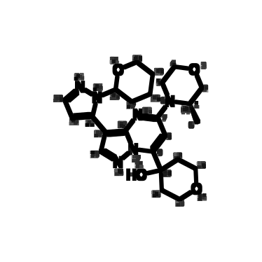 C[C@@H]1COCCN1c1cc(C2(O)CCOCC2)n2ncc(-c3ccnn3C3CCCCO3)c2n1